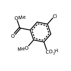 COC(=O)c1cc(Cl)cc(C(=O)O)c1OC